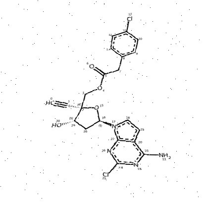 C#C[C@]1(COC(=O)Cc2ccc(Cl)cc2)O[C@@H](n2ccc3c(N)nc(Cl)nc32)C[C@@H]1O